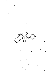 O=C(Nc1ccncc1)c1nnc2ccccc2c1O